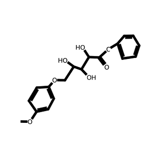 COc1ccc(OCC(O)C(O)C(O)C(=O)Cc2ccccc2)cc1